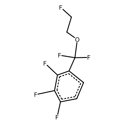 FCCOC(F)(F)c1ccc(F)c(F)c1F